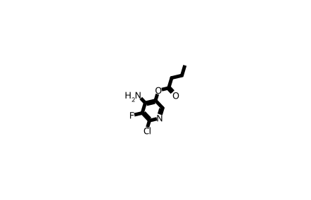 CCCC(=O)Oc1cnc(Cl)c(F)c1N